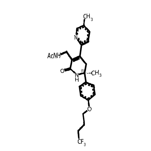 CC(=O)NCC1=C(c2ccc(C)cn2)C[C@@](C)(c2ccc(OCCCC(F)(F)F)cc2)NC1=O